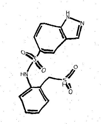 O=[SH](=O)Cc1ccccc1NS(=O)(=O)c1ccc2[nH]ncc2c1